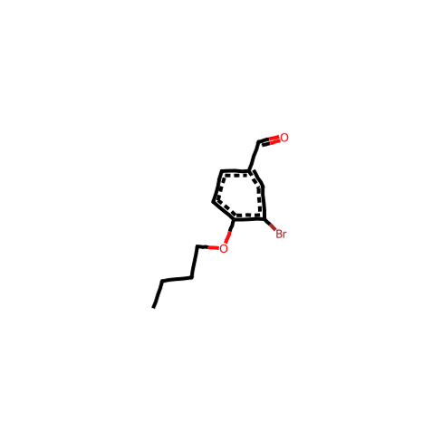 CCCCOc1ccc(C=O)cc1Br